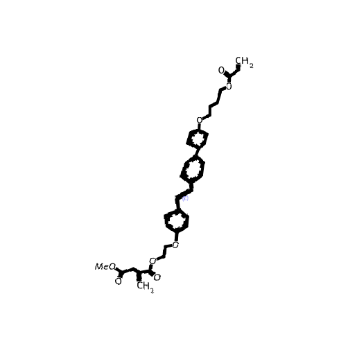 C=CC(=O)OCCCCOc1ccc(-c2ccc(/C=C/c3ccc(OCCOC(=O)C(=C)CC(=O)OC)cc3)cc2)cc1